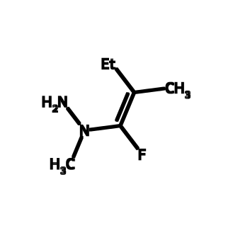 CC/C(C)=C(/F)N(C)N